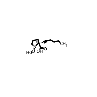 CCCCC#C[C@@]1(C(=O)O)CCCN1OO